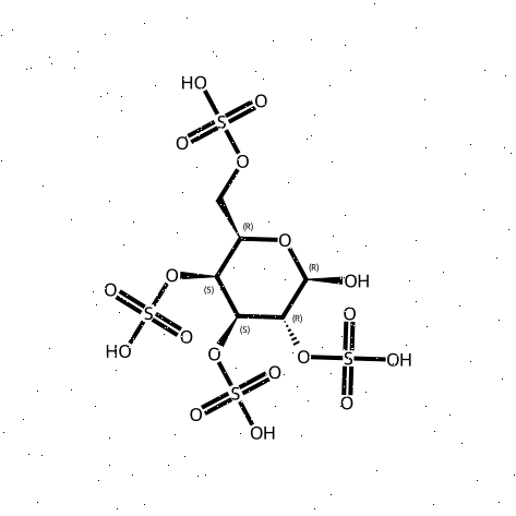 O=S(=O)(O)OC[C@H]1O[C@@H](O)[C@H](OS(=O)(=O)O)[C@@H](OS(=O)(=O)O)[C@H]1OS(=O)(=O)O